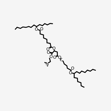 CCCCCCCCC(CCCCCC)OC(=O)CCCCCCC(=O)OC(CC(=O)OCCCCCC(=O)OC(CCCCCC)CCCCCCCC)C(=O)OCCN(C)C